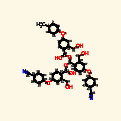 Cc1ccc(Oc2ccc(B(O)OB(OB(O)c3ccc(Oc4ccc(C#N)cc4)cc3CO)c3ccc(Oc4ccc(C#N)cc4)cc3CO)c(CO)c2)cc1